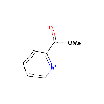 COC(=O)C1=[N+]C=CC=C1